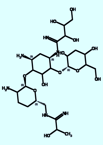 CC(O)C(=N)NC[C@@H]1CCC(N)[C@@H](OC2C(O)C(O[C@H]3OC(CO)C(O)CC3O)[C@H](NC(=N)C(O)C(O)CO)C[C@@H]2N)O1